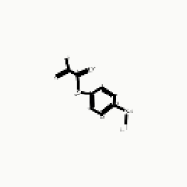 C=C(C)C(=O)Sc1ccc(SI)cc1